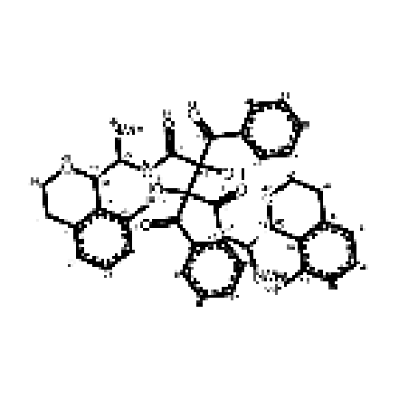 CNC(OC(=O)C(O)(C(=O)c1ccccc1)C(O)(C(=O)OC(NC)[C@@H]1OCCc2cccc(F)c21)C(=O)c1ccccc1)[C@@H]1OCCc2cccc(F)c21